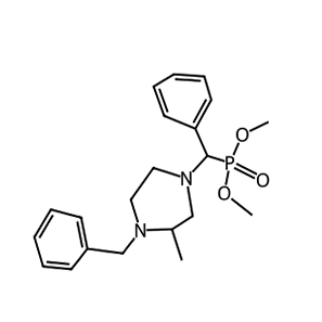 COP(=O)(OC)C(c1ccccc1)N1CCN(Cc2ccccc2)C(C)C1